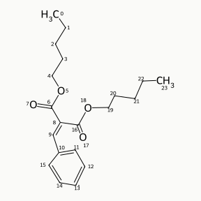 CCCCCOC(=O)C(=Cc1cc[c]cc1)C(=O)OCCCCC